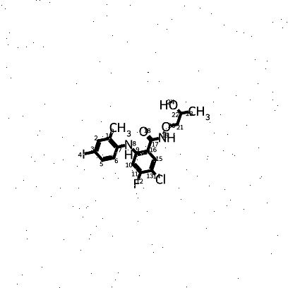 Cc1cc(I)ccc1Nc1cc(F)c(Cl)cc1C(=O)NOCC(C)O